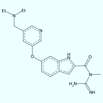 CCN(CC)Cc1cncc(Oc2ccc3cc(C(=O)N(C)C(=N)N)[nH]c3c2)c1